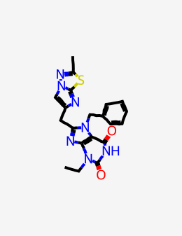 CCn1c(=O)[nH]c(=O)c2c1nc(Cc1cn3nc(C)sc3n1)n2Cc1ccccc1